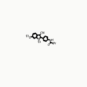 CCOc1ccc2c(c1)N(CC)C(c1ccc(NC(=O)C(C)C)cc1)C2C#N